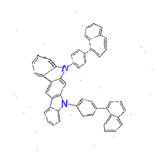 c1ccc2c(-c3ccc(-n4c5ccccc5c5cc6c7ccccc7n(-c7ccc(-c8cccc9ccccc89)cc7)c6cc54)cc3)cccc2c1